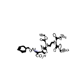 CC(C)(C)OC(=O)N(CCN(C(=O)OC(C)(C)C)c1nc(/C(=N/OCc2ccccc2)C(=O)O)cs1)C(=O)OC(C)(C)C